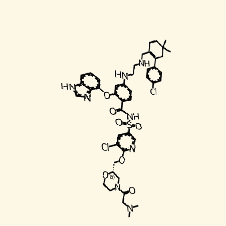 CN(C)CC(=O)N1CCO[C@H](COc2ncc(S(=O)(=O)NC(=O)c3ccc(NCCNCC4=C(c5ccc(Cl)cc5)CC(C)(C)CC4)cc3Oc3cccc4[nH]cnc34)cc2Cl)C1